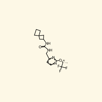 C[C@@H](Oc1nccc(CNC(=O)NC2CC3(CCC3)C2)n1)C(F)(F)F